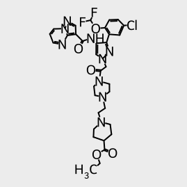 CCOC(=O)C1CCN(CCN2CCN(C(=O)Cn3cc(NC(=O)c4cnn5cccnc45)c(-c4cc(Cl)ccc4OC(F)F)n3)CC2)CC1